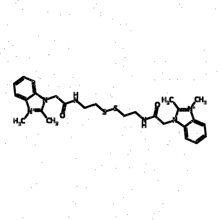 Cc1n(CC(=O)NCCSSCCNC(=O)Cn2c(C)[n+](C)c3ccccc32)c2ccccc2[n+]1C